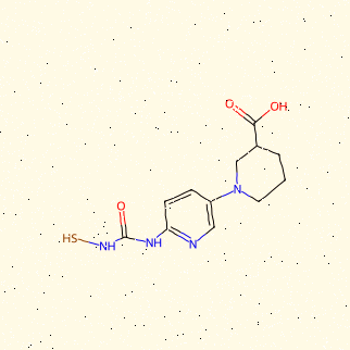 O=C(NS)Nc1ccc(N2CCCC(C(=O)O)C2)cn1